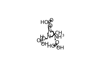 CC1(NCOP(O)O)CN(CO[PH](=O)O)CN(CO[PH](=O)O)C1